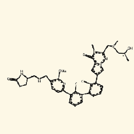 COc1nc(-c2cccc(-c3cccc(-c4cc5c(=O)n(C)c(CN(C)C[C@H](C)O)nn5c4)c3Cl)c2Cl)ccc1CNCC1CCC(=O)N1